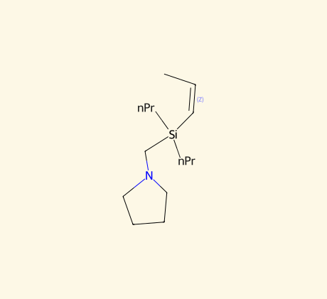 C/C=C\[Si](CCC)(CCC)CN1CCCC1